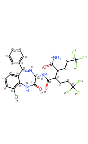 NC(=O)C(CCC(F)(F)F)C(CCC(F)(F)F)C(=O)N[C@H]1N=C(c2ccccc2)c2cccc(Cl)c2NC1=O